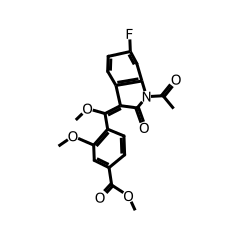 COC(=O)c1ccc(C(OC)=C2C(=O)N(C(C)=O)c3cc(F)ccc32)c(OC)c1